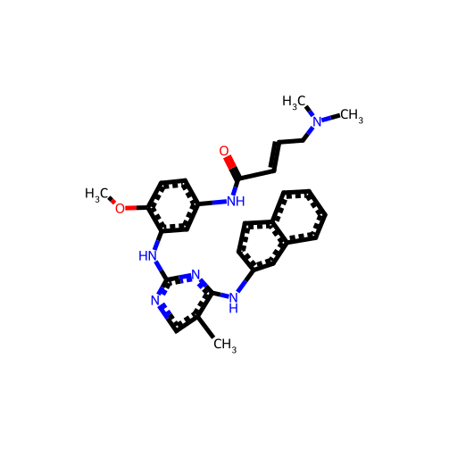 COc1ccc(NC(=O)/C=C/CN(C)C)cc1Nc1ncc(C)c(Nc2ccc3ccccc3c2)n1